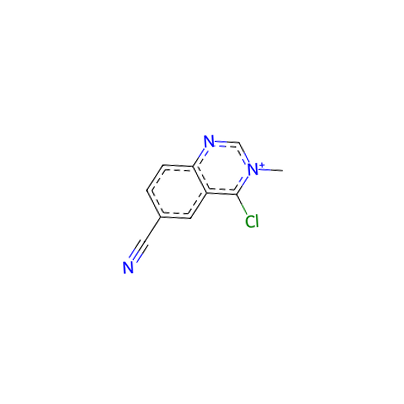 C[n+]1cnc2ccc(C#N)cc2c1Cl